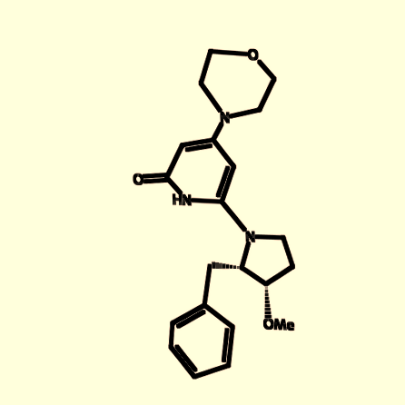 CO[C@H]1CCN(c2cc(N3CCOCC3)cc(=O)[nH]2)[C@H]1Cc1ccccc1